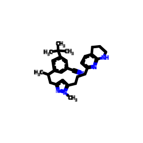 CC(Cc1cc(CCCc2ccc3c(n2)NCCC3)n(C)n1)c1cc(C#N)cc(C(C)(C)C)c1